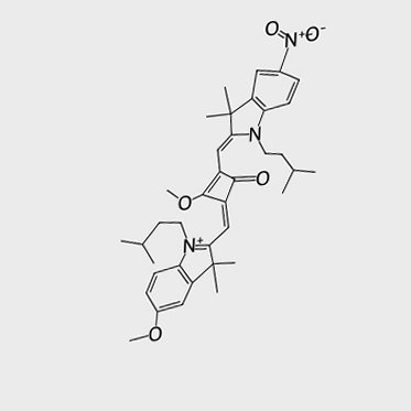 COC1=C(/C=C2\N(CCC(C)C)c3ccc([N+](=O)[O-])cc3C2(C)C)C(=O)/C1=C/C1=[N+](CCC(C)C)c2ccc(OC)cc2C1(C)C